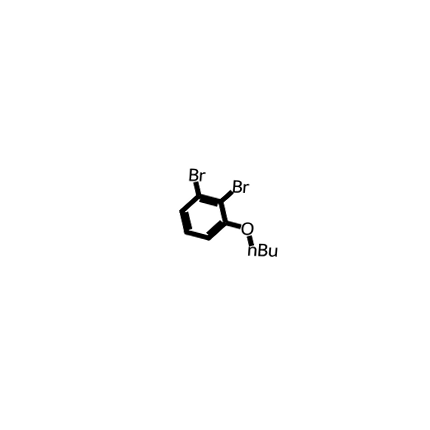 CCCCOc1cccc(Br)c1Br